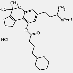 CCCCCC(C)CCc1cc(OC(=O)CCCN2CCCCC2)c2c(c1)OC(C)(C)C1=C2CCC1.Cl